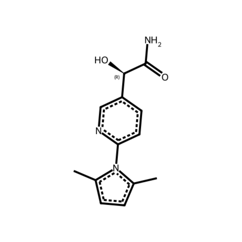 Cc1ccc(C)n1-c1ccc([C@@H](O)C(N)=O)cn1